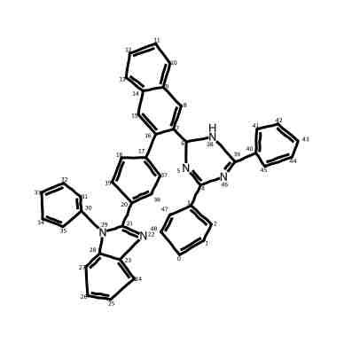 c1ccc(C2=NC(c3cc4ccccc4cc3-c3ccc(-c4nc5ccccc5n4-c4ccccc4)cc3)NC(c3ccccc3)=N2)cc1